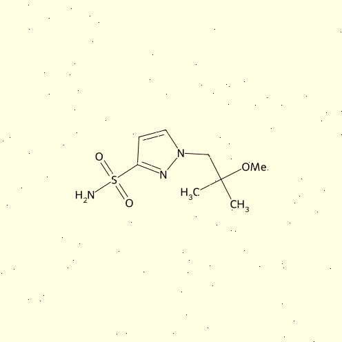 COC(C)(C)Cn1ccc(S(N)(=O)=O)n1